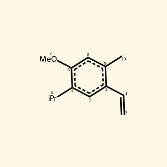 C=Cc1cc(C(C)C)c(OC)cc1C